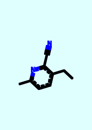 CCc1ccc(C)nc1C#N